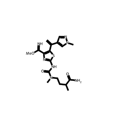 C=C(c1cnn(C)c1)c1sc(NC(=O)N(C)CCC(C)C(N)=O)nc1C(=N)OC